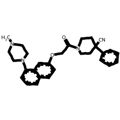 CN1CCN(c2cccc3ccc(OCC(=O)N4CCC(C#N)(c5ccccc5)CC4)cc23)CC1